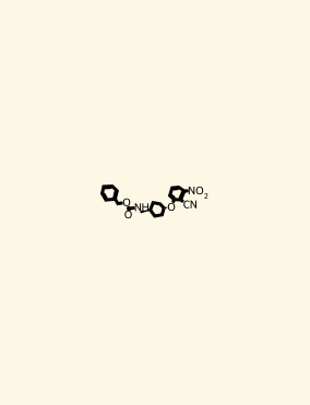 N#Cc1c(O[C@H]2CC[C@H](CNC(=O)OCc3ccccc3)CC2)cccc1[N+](=O)[O-]